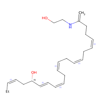 C=C(CC/C=C\C/C=C\C/C=C\C/C=C\C=C\[C@@H](O)C/C=C\CC)NCCO